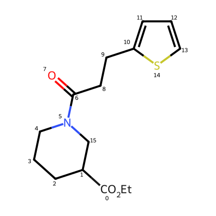 CCOC(=O)C1CCCN(C(=O)CCc2cccs2)C1